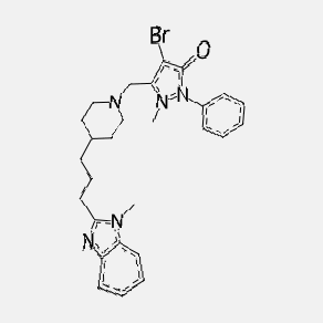 Cn1c(CCCC2CCN(Cc3c(Br)c(=O)n(-c4ccccc4)n3C)CC2)nc2ccccc21